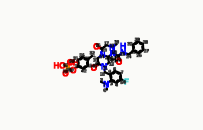 CN(C)c1cc(F)ccc1CN1C[C@H]2N(C(=O)CN(C)N2C(=O)NCc2ccccc2)[C@@H](Cc2ccc(OP(=O)(O)O)cc2)C1=O